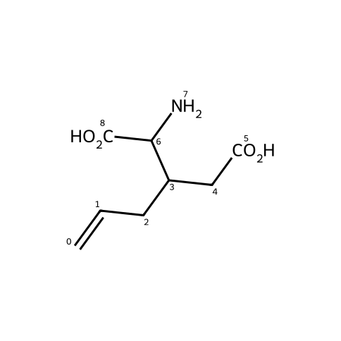 C=CCC(CC(=O)O)C(N)C(=O)O